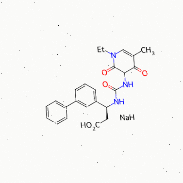 CCN1C=C(C)C(=O)C(NC(=O)N[C@@H](CC(=O)O)c2cccc(-c3ccccc3)c2)C1=O.[NaH]